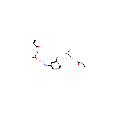 C=CC(=O)OCC(C)ONCc1cccc(CNOC(C)COC(=O)C=C)c1